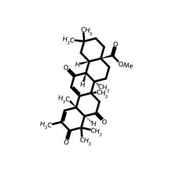 COC(=O)[C@]12CCC(C)(C)C[C@H]1[C@H]1C(=O)C=C3[C@@]4(C)C=C(C)C(=O)C(C)(C)[C@@H]4C(=O)C[C@@]3(C)[C@]1(C)CC2